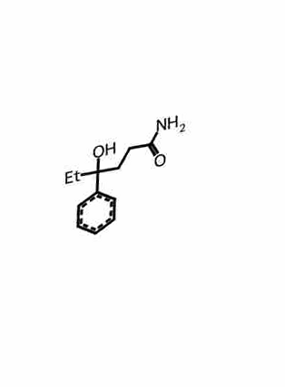 CCC(O)(CCC(N)=O)c1ccccc1